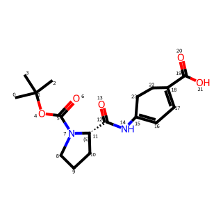 CC(C)(C)OC(=O)N1CCC[C@H]1C(=O)NC1=CC=C(C(=O)O)CC1